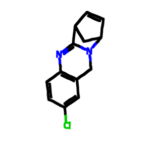 Clc1ccc2c(c1)CN1C(=N2)C2C=CC1C2